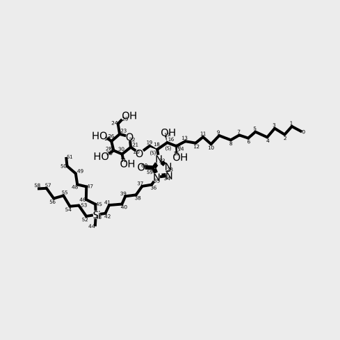 CCCCCCCCCCCCCC[C@@H](O)[C@@H](O)[C@H](COC1OC(CO)C(O)C(O)C1O)n1nnn(CCCCCCC[Si](C)(CCCCCCC)CCCCCCC)c1=O